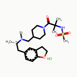 CCN(CC1CCN(C(=O)C(C)(C)NS(C)(=O)=O)CC1)[C@@H](C)Cc1ccc2c(c1)CCO2.Cl